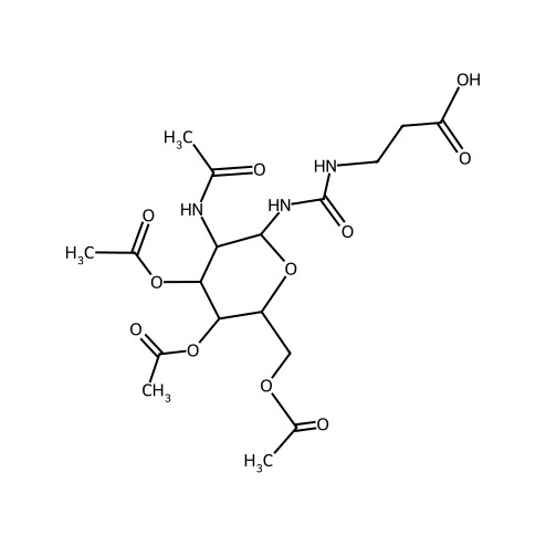 CC(=O)NC1C(NC(=O)NCCC(=O)O)OC(COC(C)=O)C(OC(C)=O)C1OC(C)=O